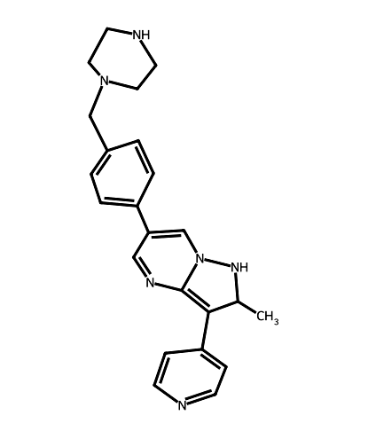 CC1NN2C=C(c3ccc(CN4CCNCC4)cc3)C=NC2=C1c1ccncc1